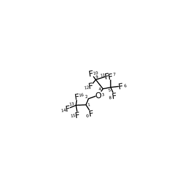 FC(COC(C(F)(F)F)C(F)(F)F)C(F)(F)F